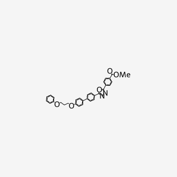 COC(=O)c1ccc(-c2nnc(-c3ccc(-c4ccc(OCCCOc5ccccc5)cc4)cc3)o2)cc1